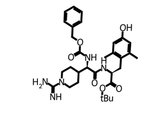 Cc1cc(O)cc(C)c1C[C@H](NC(=O)[C@H](NC(=O)OCc1ccccc1)C1CCN(C(=N)N)CC1)C(=O)OC(C)(C)C